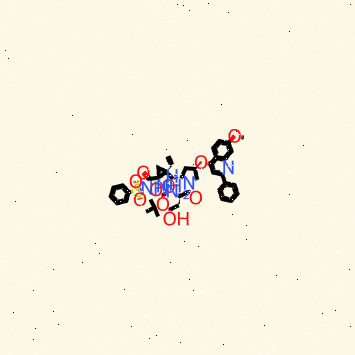 C=C[C@@]1(C(=O)[C@@H]2C[C@@H](Oc3cc(-c4ccccc4)nc4cc(OC)ccc34)CN2C(=O)[C@H](CCO)NC(=O)OC(C)(C)C)C[C@]1(N)C(=O)NS(=O)(=O)c1ccccc1